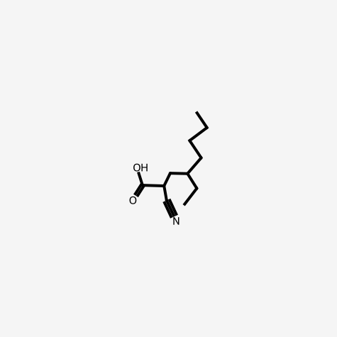 CCCCC(CC)CC(C#N)C(=O)O